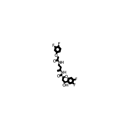 C=C(CCNC(=O)COc1ccc(F)c(F)c1)NC(=O)[C@H]1C[C@@H](O)c2cc(F)c(F)cc2O1